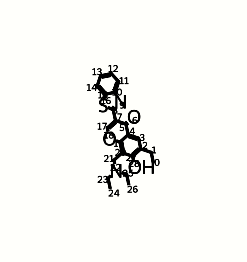 CCc1cc2c(=O)c(-c3nc4ccccc4s3)coc2c(CN(CC)CC)c1O